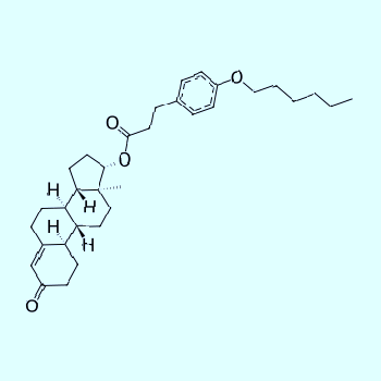 CCCCCCOc1ccc(CCC(=O)O[C@H]2CC[C@H]3[C@@H]4CCC5=CC(=O)CC[C@@H]5[C@H]4CC[C@]23C)cc1